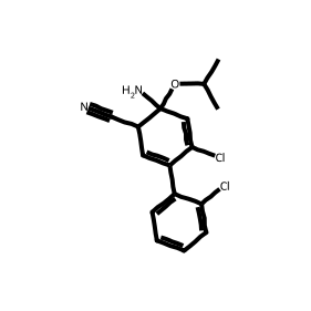 CC(C)OC1(N)C=C(Cl)C(c2ccccc2Cl)=CC1C#N